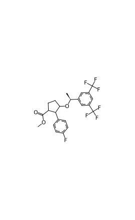 COC(=O)C1CCC(O[C@@H](C)c2cc(C(F)(F)F)cc(C(F)(F)F)c2)C1c1ccc(F)cc1